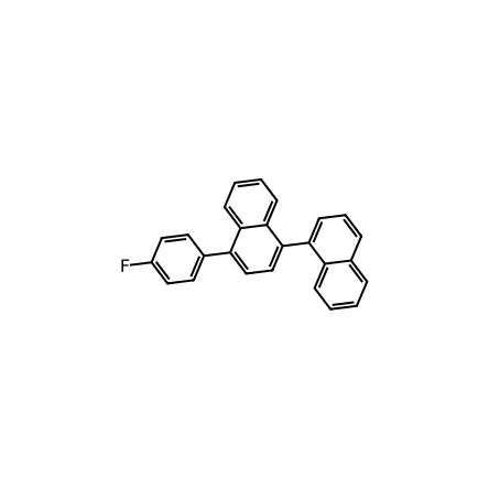 Fc1ccc(-c2ccc(-c3cccc4ccccc34)c3ccccc23)cc1